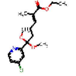 CCOC(=O)/C(C)=C/CCC(OC)(OC)c1cc(Cl)ccn1